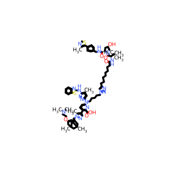 Cc1cc(N(CCCCCn2cc(CCCCCCCCC(=O)N[C@H](C(=O)N3C[C@H](O)C[C@H]3C(=O)NCc3ccc(-c4scnc4C)cc3)C(C)(C)C)nn2)c2ccc(-c3cnn(CC45CC6(C)CC(C)(C4)CC(OCCN(C)C)(C6)C5)c3C)c(C(=O)O)n2)nnc1Nc1nc2ccccc2s1